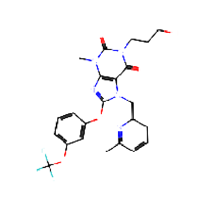 CC1=NC(Cn2c(Oc3cccc(OC(F)(F)F)c3)nc3c2c(=O)n(CCCO)c(=O)n3C)CC=C1